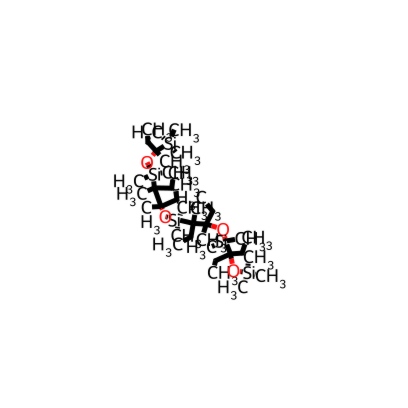 CCC(C)(O[Si](C)(C)C(CC)(CC)O[Si](C)(C)C)C(C)(CC)[Si](C)(C)OC(C)(CC)C(C)(CC)[Si](C)(C)OC(C)(CC)[Si](C)(C)C